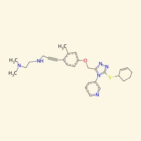 Cc1cc(OCc2nnc(SC3C=CCCC3)n2-c2cccnc2)ccc1C#CCNCCN(C)C